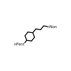 CCCCCCCCCCCCC1CCC(CCCCC)CC1